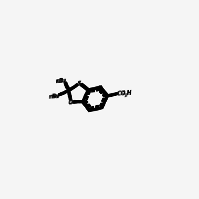 CCCCC1(CCCC)Oc2ccc(C(=O)O)cc2S1